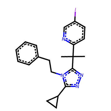 CC(C)(c1ccc(I)cn1)c1nnc(C2CC2)n1CCc1ccccc1